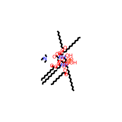 CCCCCCCCCCC[C@H](CC(=O)N[C@H]1[C@H](OC[C@H](NC(=O)C[C@@H](CCCCCCCCCCC)OC(=O)CCCCCCCCC)C(=O)O)O[C@H](CO)[C@@H](OP(=O)(O)O)[C@@H]1OC(=O)C[C@@H](CCCCCCCCCCC)OC(=O)CCCCCCCCC)OC(=O)CCCCCCCCC.CCN(CC)CC